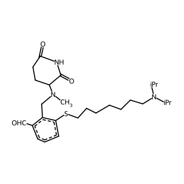 CC(C)N(CCCCCCCSc1cccc(C=O)c1CN(C)C1CCC(=O)NC1=O)C(C)C